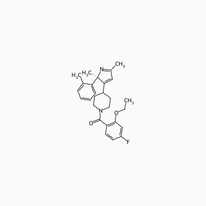 CCOc1cc(F)ccc1C(=O)N1CCC(C2=CC(C)=N[C@]2(C)c2ccccc2C)CC1